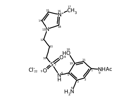 CC(=O)Nc1cc(N)c(NS(=O)(=O)CCCn2cc[n+](C)c2)c(O)c1.[Cl-]